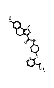 COc1ccc2c(c1)CCc1c(C(=O)NC3CCC(Oc4ncccc4C(N)=O)CC3)nn(C)c1-2